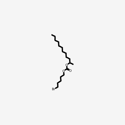 CCCCCCCCCCC(C)OC(=O)OCCCCCBr